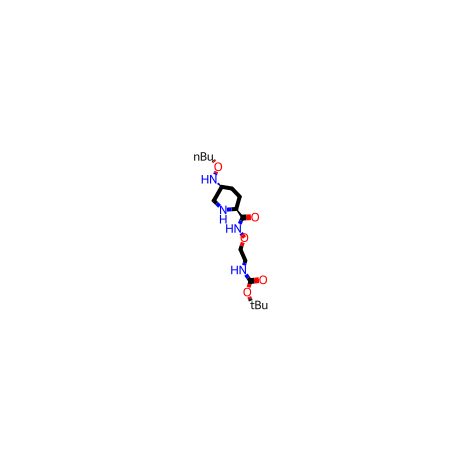 CCCCON[C@@H]1CC[C@@H](C(=O)NOCCNC(=O)OC(C)(C)C)NC1